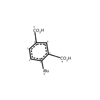 CCC(C)c1ccc(C(=O)O)cc1C(=O)O